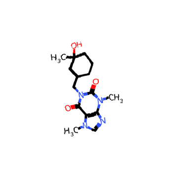 Cn1cnc2c1c(=O)n(CC1CCCC(C)(O)C1)c(=O)n2C